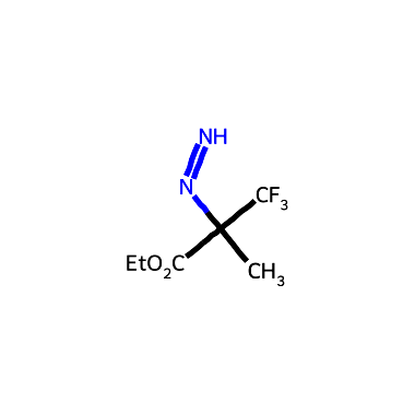 CCOC(=O)C(C)(N=N)C(F)(F)F